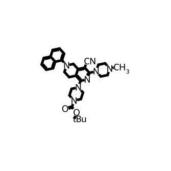 CN1CCN(c2nc(N3CCN(C(=O)OC(C)(C)C)CC3)c3c(c2C#N)CN(c2cccc4ccccc24)CC3)CC1